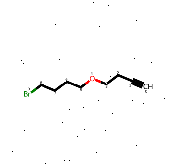 C#CCCOCCCCBr